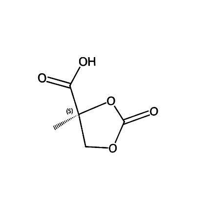 C[C@@]1(C(=O)O)COC(=O)O1